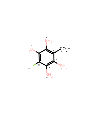 Bc1c(B)c(C(=O)O)c(B)c(B)c1F